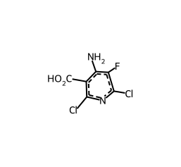 Nc1c(F)c(Cl)nc(Cl)c1C(=O)O